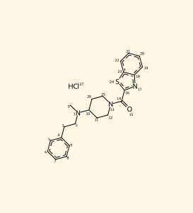 CN(CCc1ccccc1)C1CCN(C(=O)c2nc3ccccc3s2)CC1.Cl